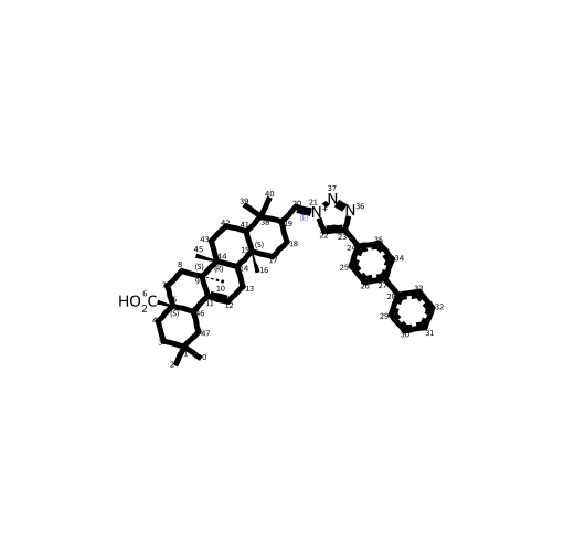 CC1(C)CC[C@]2(C(=O)O)CC[C@]3(C)C(=CCC4[C@@]5(C)CCC(/C=[N+]6\C=C(c7ccc(-c8ccccc8)cc7)N=N6)C(C)(C)C5CC[C@]43C)C2C1